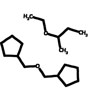 C1CCC(COCC2CCCC2)C1.CCOC(C)CC